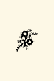 COC(=O)[C@@H]1[C@H]2C[C@@H]([C@@]3(CCN=[N+]=[N-])C(=O)Nc4ccccc43)N(C#N)C[C@@H]2CC[C@@H]1O